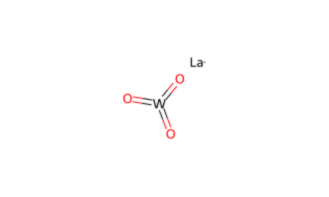 [La].[O]=[W](=[O])=[O]